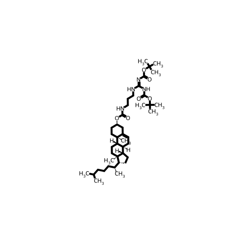 CC(C)CCC[C@@H](C)[C@H]1CC[C@H]2[C@@H]3CC=C4C[C@@H](OC(=O)NCCCN/C(=N/C(=O)OC(C)(C)C)NC(=O)OC(C)(C)C)CC[C@]4(C)[C@H]3CC[C@]12C